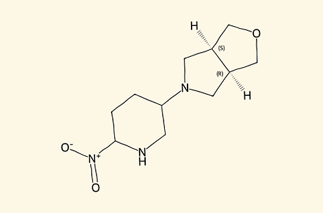 O=[N+]([O-])C1CCC(N2C[C@H]3COC[C@H]3C2)CN1